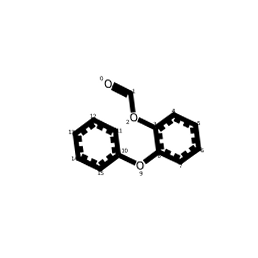 O=COc1ccccc1Oc1ccccc1